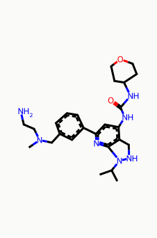 CC(C)N1NCc2c(NC(=O)NC3CCOCC3)cc(-c3cccc(CN(C)CCN)c3)nc21